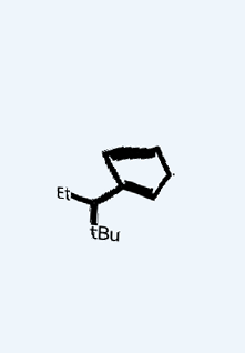 CCC(C1=C[CH]C=C1)C(C)(C)C